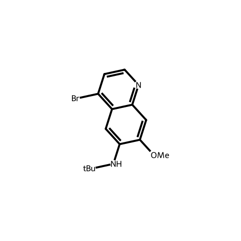 COc1cc2nccc(Br)c2cc1NC(C)(C)C